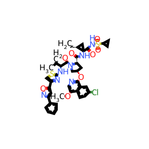 C=C[C@@H]1C[C@]1(NC(=O)[C@@H]1C[C@@H](Oc2ncc(OC)c3ccc(Cl)cc23)CN1C(=O)[C@@H](Nc1nc(-c2cc(-c3ccccc3)no2)cs1)C(=C)C)C(=O)NS(=O)(=O)C1CC1